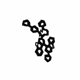 C1=CC2Oc3cc(C4=C\CCC/C(c5ccccc5)=N/C(c5ccc(-c6ccccc6)cc5)=N\4)cc(-c4cc(-c5ccccc5)cc5sc6ccccc6c45)c3C2C=C1